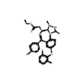 CCNC(=O)C[C@@H]1N=C(c2ccc(Cl)cc2)c2cc(Oc3c(F)cccc3F)ccc2N2C(C)NN(C)C12